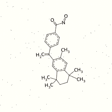 C=C(c1ccc(C(=O)N=O)cc1)c1cc2c(cc1C)C(C)(C)CCC2(C)C